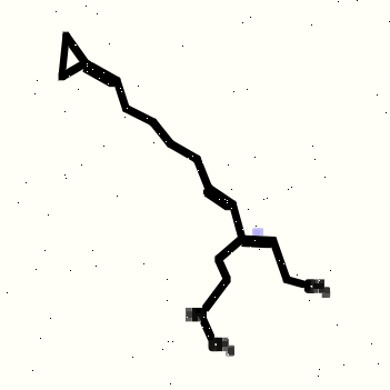 CC/C=C(/C=CCCCCC=C1CC1)CCNC